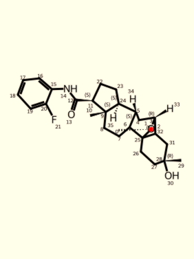 C[C@H]1O[C@@H]2C[C@@H]3C(CC[C@]4(C)[C@@H](C(=O)Nc5ccccc5F)CC[C@@H]34)C13CC[C@@](C)(O)CC23